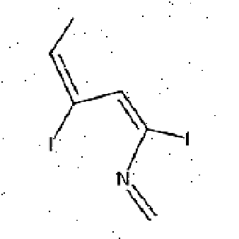 C=N/C(I)=C\C(I)=C/C